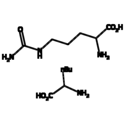 CCCCC(N)C(=O)O.NC(=O)NCCCC(N)C(=O)O